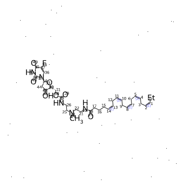 CC/C=C\C/C=C\C/C=C\C/C=C\C/C=C\CCCC(=O)NCCN(C)CCNC(=O)OC[C@H]1OC(n2cc(F)c(=O)[nH]c2=O)C[C@@H]1O